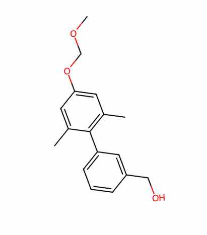 COCOc1cc(C)c(-c2cccc(CO)c2)c(C)c1